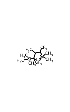 C[Si](C)(C)C(C(C(C(F)(F)F)[Si](C)(C)C)C(F)(F)F)C(F)(F)F